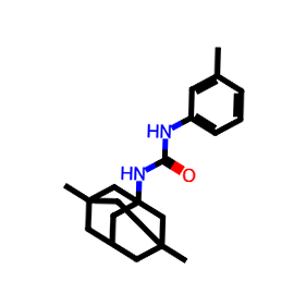 Cc1cccc(NC(=O)NC23CC4CC(C)(CC(C)(C4)C2)C3)c1